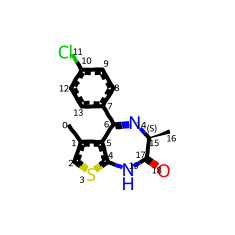 Cc1csc2c1C(c1ccc(Cl)cc1)=N[C@@H](C)C(=O)N2